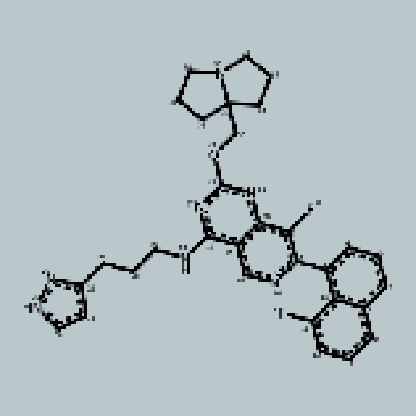 Fc1c(-c2cccc3cccc(F)c23)ncc2c(NCCCc3cc[nH]n3)nc(OCC34CCCN3CCC4)nc12